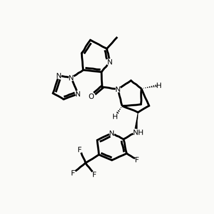 Cc1ccc(-n2nccn2)c(C(=O)N2C[C@H]3C[C@@H](Nc4ncc(C(F)(F)F)cc4F)[C@@H]2C3)n1